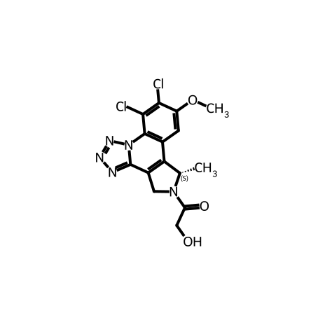 COc1cc2c3c(c4nnnn4c2c(Cl)c1Cl)CN(C(=O)CO)[C@H]3C